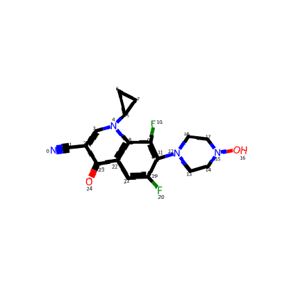 N#Cc1cn(C2CC2)c2c(F)c(N3CCN(O)CC3)c(F)cc2c1=O